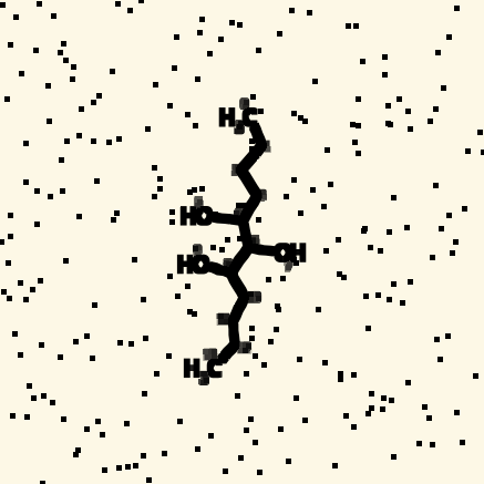 CCCCC(O)C(O)C(O)CCCC